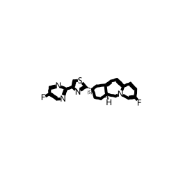 FC1=CN2C[C@H]3CC[C@H](c4nc(-c5ncc(F)cn5)cs4)CC3=CC=C2C=C1